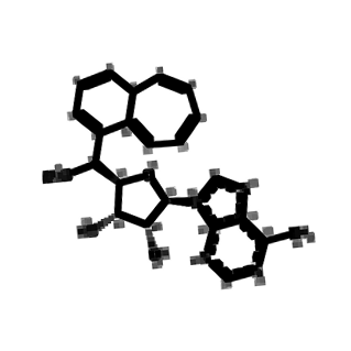 COC(C1=CC=CC2C=CC=CC=C12)[C@H]1O[C@@H](n2cnc3c(N)ncnc32)[C@H](O)[C@@H]1O